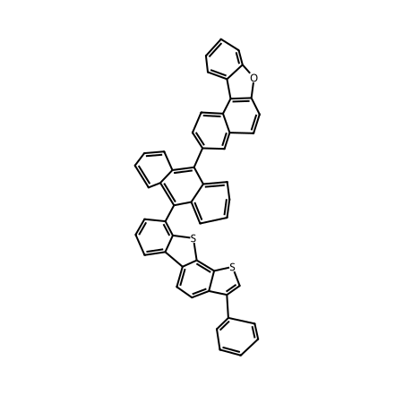 c1ccc(-c2csc3c2ccc2c4cccc(-c5c6ccccc6c(-c6ccc7c(ccc8oc9ccccc9c87)c6)c6ccccc56)c4sc23)cc1